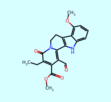 CCc1c(C(=O)OC)c(C=O)c2n(c1=O)CCc1c-2[nH]c2cccc(OC)c12